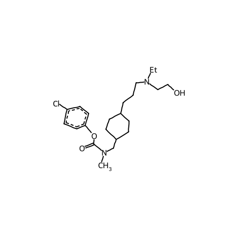 CCN(CCO)CCCC1CCC(CN(C)C(=O)Oc2ccc(Cl)cc2)CC1